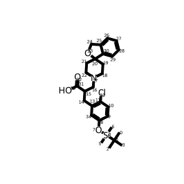 CC(C)(C)[Si](C)(C)Oc1ccc(Cl)c(CC(CN2CCC3(CC2)OCc2ccccc23)C(=O)O)c1